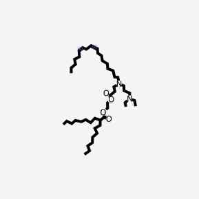 CCCCC/C=C\C/C=C\CCCCCCCCN(CCCN(CC)CC)CCC(=O)OCCOC(=O)C(CCCCCCCC)CCCCCCCC